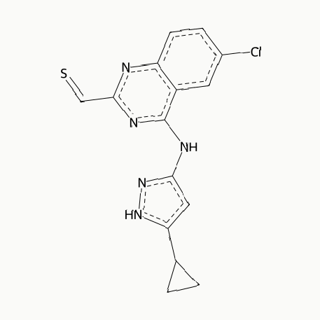 S=Cc1nc(Nc2cc(C3CC3)[nH]n2)c2cc(Cl)ccc2n1